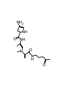 C=C(C(=O)NCCCC(C)=O)N(C)/C=C(\C)NC(=O)C1CC(N)=CN1